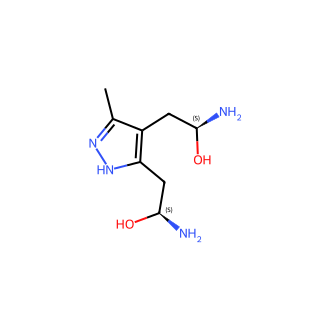 Cc1n[nH]c(C[C@@H](N)O)c1C[C@@H](N)O